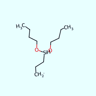 [CH2]CC[SiH](OCCCC)OCCCC